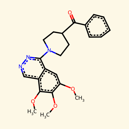 COc1cc2c(N3CCC(C(=O)c4ccccc4)CC3)nncc2c(OC)c1OC